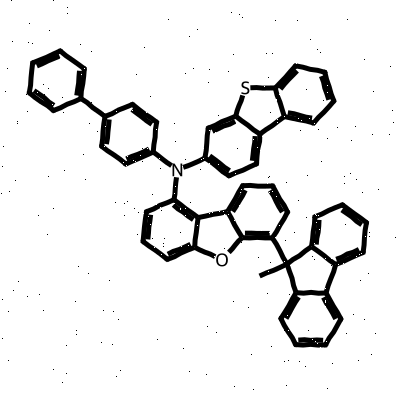 CC1(c2cccc3c2oc2cccc(N(c4ccc(-c5ccccc5)cc4)c4ccc5c(c4)sc4ccccc45)c23)c2ccccc2-c2ccccc21